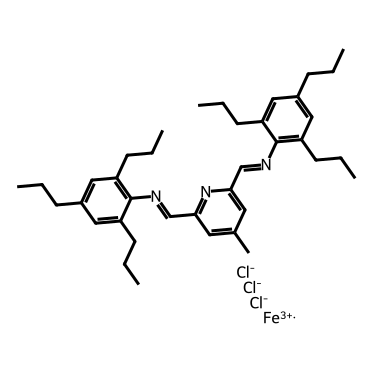 CCCc1cc(CCC)c(N=Cc2cc(C)cc(C=Nc3c(CCC)cc(CCC)cc3CCC)n2)c(CCC)c1.[Cl-].[Cl-].[Cl-].[Fe+3]